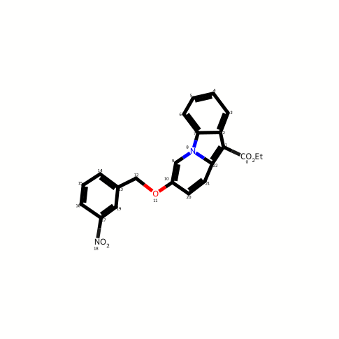 CCOC(=O)c1c2ccccc2n2cc(OCc3cccc([N+](=O)[O-])c3)ccc12